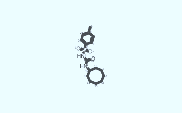 Cc1ccc(S(=O)(=O)NC(=O)NC2CCCCCCC2)cc1